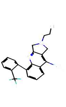 CCCN1Cc2nc3c(-c4ccccc4C(F)(F)F)cccc3c(N)c2C1